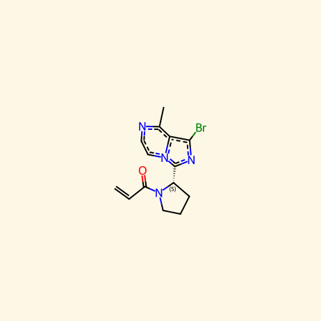 C=CC(=O)N1CCC[C@H]1c1nc(Br)c2c(C)nccn12